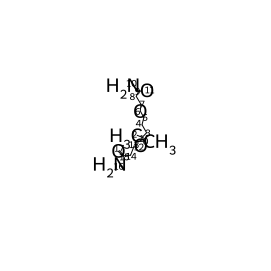 CC(C)(CCCOCCC(N)=O)OCCC(N)=O